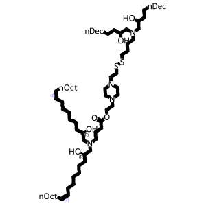 CCCCCCCC/C=C\CCCCCC[C@@H](O)CN(CCCC(=O)OCCN1CCN(CCSSCCCCN(CC(O)CCCCCCCCCCCC)CC(O)CCCCCCCCCCCC)CC1)C[C@H](O)CCCCCC/C=C\CCCCCCCC